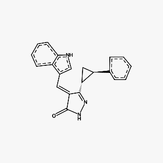 O=C1NN=C([C@@H]2C[C@H]2c2ccccc2)C1=Cc1c[nH]c2ccccc12